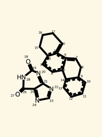 C1=c2c(ccc3c2=CCc2ccccc2-3)CCC1.O=C1N=C2N=CN=C2C(=O)N1